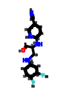 N#Cc1ccc(NC(C=O)CNc2ccc(F)c(F)c2)nc1